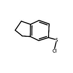 ClSc1ccc2c(c1)CCC2